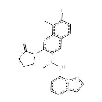 Cc1c(F)ccc2cc([C@H](C)Nc3ccnc4ccnn34)c(N3CCCC3=O)nc12